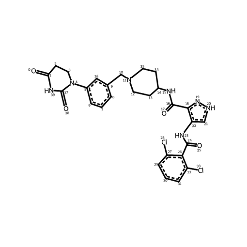 O=C1CCN(c2cccc(CN3CCC(NC(=O)c4n[nH]cc4NC(=O)c4c(Cl)cccc4Cl)CC3)c2)C(=O)N1